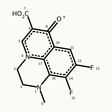 CN1CCn2cc(C(=O)O)c(=O)c3cc(F)c(F)c1c32